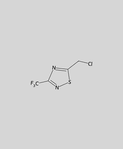 FC(F)(F)c1nsc(CCl)n1